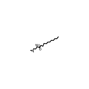 CCCCCCCCCCCC(=O)C(N)CCN(C)C